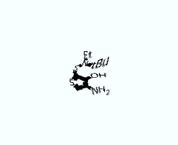 CCN(Sc1scc(N)c1O)C(C)(C)C